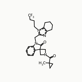 CC1(C(=O)N2CC3(C2)C(=O)N(Cc2nc4c(n2CCCC(F)(F)F)CCCC4)c2ccccc23)CC1